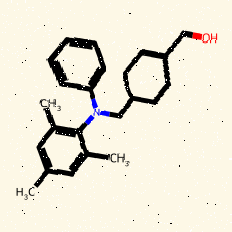 Cc1cc(C)c(N(CC2CCC(CO)CC2)c2ccccc2)c(C)c1